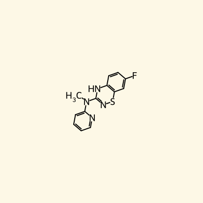 CN(C1=NSc2cc(F)ccc2N1)c1ccccn1